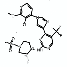 COc1nccc(-n2cnc(-c3nc(N[C@H]4CCN(S(C)(=O)=O)C[C@H]4F)ncc3C(F)(F)F)c2)c1Cl